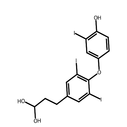 Oc1ccc(Oc2c(I)cc(CCC(O)O)cc2I)cc1I